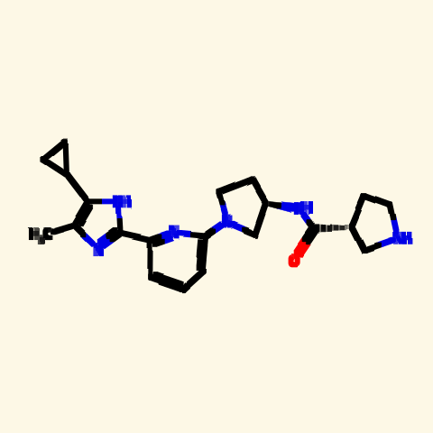 Cc1nc(-c2cccc(N3CC[C@@H](NC(=O)[C@@H]4CCNC4)C3)n2)[nH]c1C1CC1